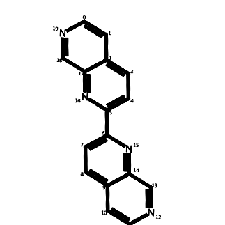 c1cc2ccc(-c3ccc4ccncc4n3)nc2cn1